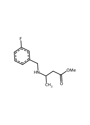 COC(=O)CC(C)NCc1cccc(F)c1